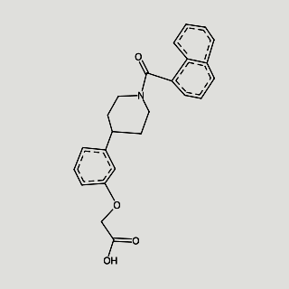 O=C(O)COc1cccc(C2CCN(C(=O)c3cccc4ccccc34)CC2)c1